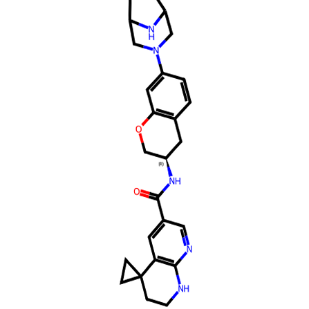 O=C(N[C@H]1COc2cc(N3CC4CCC(C3)N4)ccc2C1)c1cnc2c(c1)C1(CCN2)CC1